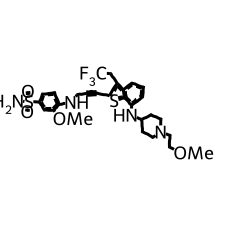 COCCN1CCC(Nc2cccc3c(CC(F)(F)F)c(C#CCNc4ccc(S(N)(=O)=O)cc4OC)sc23)CC1